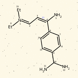 CC[N+](=C/C=C(/N)c1ccc(C(N)N)cc1)CC